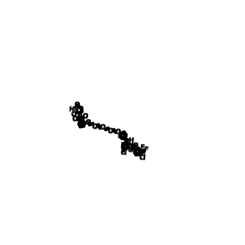 O=C1CCC(N2C(=O)c3cccc(OCCOCCOCCOCCOc4ccc(Oc5ccc(Cl)cc5NS(=O)(=O)c5ccc(Cl)c(C(F)(F)F)c5)cc4)c3C2=O)C(=O)N1